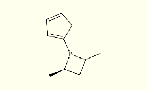 CC1C[C@@H](C)P1C1=CC=CC1